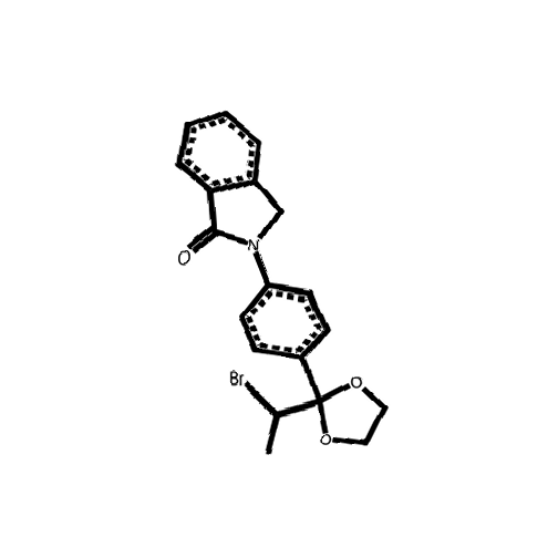 CC(Br)C1(c2ccc(N3Cc4ccccc4C3=O)cc2)OCCO1